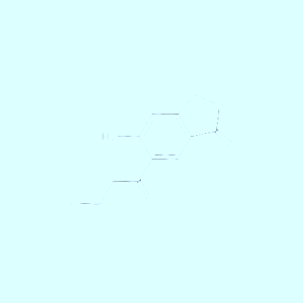 O=C(CCO)c1cc2c(cc1O)COC2=O